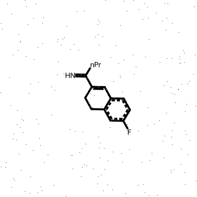 CCCC(=N)C1=Cc2ccc(F)cc2CC1